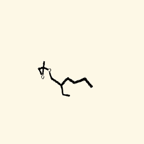 CCCCC(CC)COC1(C)CO1